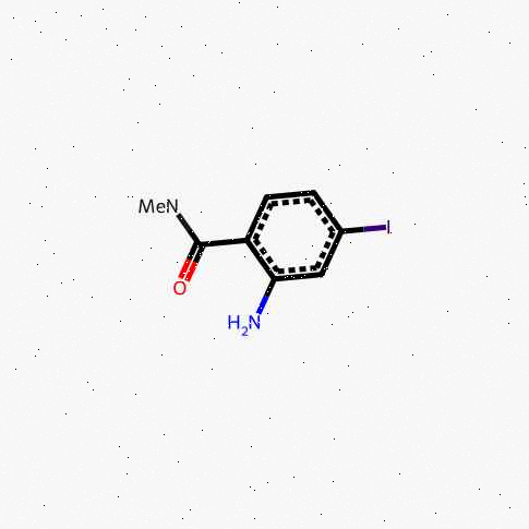 CNC(=O)c1ccc(I)cc1N